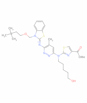 COC(=O)c1csc(N(CCCCCO)c2cc(C)c(/N=c3\sc4ccccc4n3COCC[Si](C)(C)C)nn2)n1